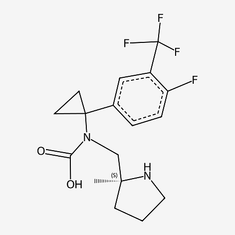 C[C@@]1(CN(C(=O)O)C2(c3ccc(F)c(C(F)(F)F)c3)CC2)CCCN1